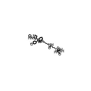 COc1ccc(-c2nn3c(NCCCCNC(=O)CCCC[C@@H]4SC[C@@H]5NC(=O)N[C@@H]54)cccc3c2-c2ccnc(NC3CCCC3)n2)cc1